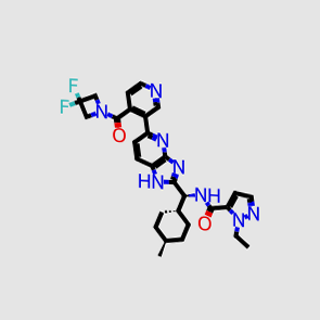 CCn1nccc1C(=O)N[C@H](c1nc2nc(-c3cnccc3C(=O)N3CC(F)(F)C3)ccc2[nH]1)[C@H]1CC[C@H](C)CC1